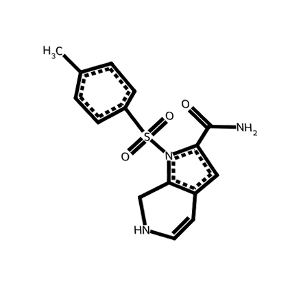 Cc1ccc(S(=O)(=O)n2c(C(N)=O)cc3c2CNC=C3)cc1